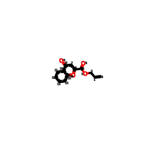 C=CCOC(=O)c1cc(=O)c2ccccc2o1